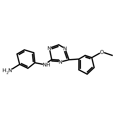 COc1cccc(-c2ncnc(Nc3cccc(N)c3)n2)c1